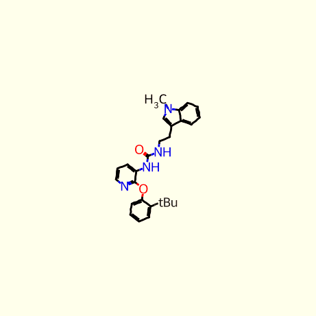 Cn1cc(CCNC(=O)Nc2cccnc2Oc2ccccc2C(C)(C)C)c2ccccc21